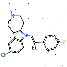 CC/C(=C\n1c2c(c3cc(Cl)ccc31)CCN(C)CC2)c1ccc(F)cc1